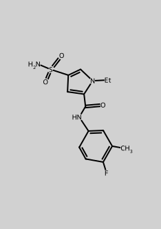 CCn1cc(S(N)(=O)=O)cc1C(=O)Nc1ccc(F)c(C)c1